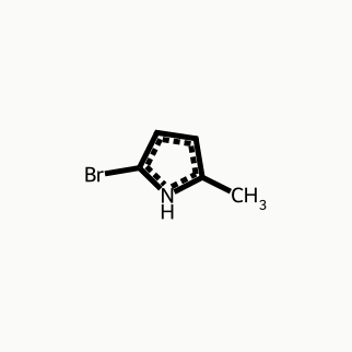 Cc1ccc(Br)[nH]1